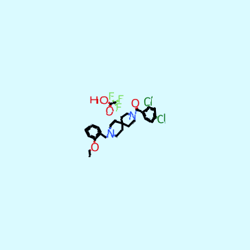 CCOc1ccccc1CN1CCC2(CC1)CCN(C(=O)c1ccc(Cl)cc1Cl)CC2.O=C(O)C(F)(F)F